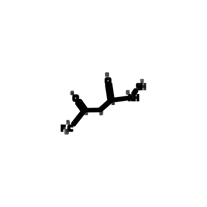 O=C(CC(=O)C(F)(F)F)NS